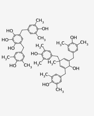 Cc1cc(CC2=CC(C)(Cc3cc(C)c(O)c(C)c3)C=C(Cc3cc(C)c(O)c(C)c3)C2O)cc(C)c1O.Cc1cc(Cc2cc(Cc3cc(C)c(O)c(C)c3)c(O)c(O)c2O)cc(C)c1O